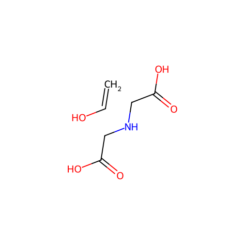 C=CO.O=C(O)CNCC(=O)O